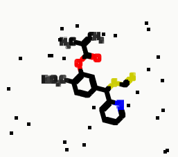 C=C(C)C(=O)Oc1cc(C(SC=S)c2ccccn2)ccc1C(=O)OCC